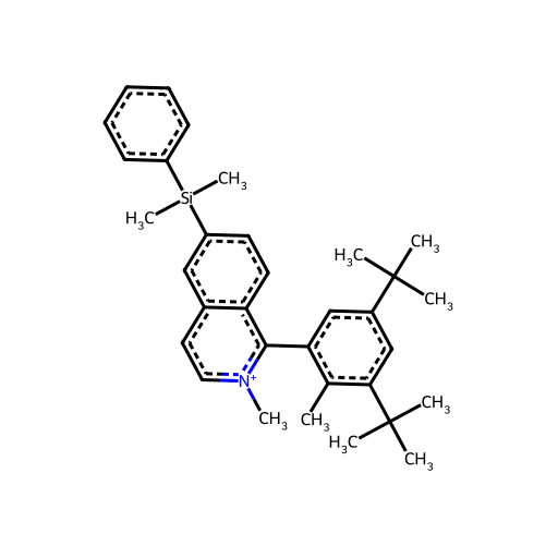 Cc1c(-c2c3ccc([Si](C)(C)c4ccccc4)cc3cc[n+]2C)cc(C(C)(C)C)cc1C(C)(C)C